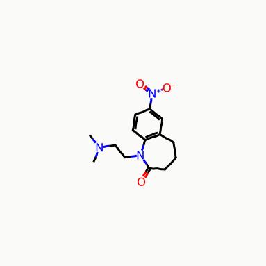 CN(C)CCN1C(=O)CCCc2cc([N+](=O)[O-])ccc21